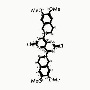 COc1cc2c(cc1OC)CN(c1nc(Cl)nc3c(N4CCc5cc(OC)c(OC)cc5C4)nc(Cl)nc13)CC2